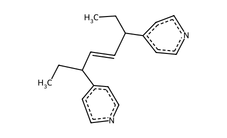 CCC(/C=C/C(CC)c1ccncc1)c1ccncc1